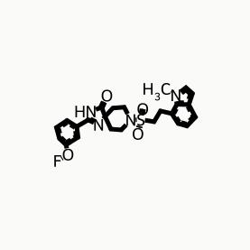 Cn1ccc2cccc(CCS(=O)(=O)N3CCC4(CC3)N=C(c3cccc(OF)c3)NC4=O)c21